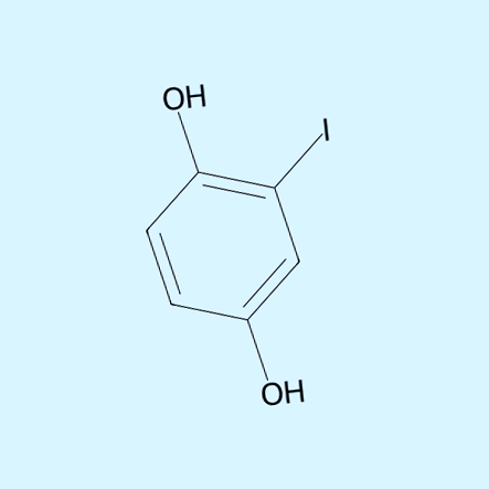 Oc1ccc(O)c(I)c1